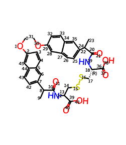 COc1ccc2cc(C(C)C(=O)NC(CSSC[C@H](NC(=O)C(C)c3ccc4cc(OC)ccc4c3)C(=O)O)C(=O)O)ccc2c1